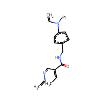 C=C/N=C\C(=C/C)C(=O)NCc1ccc(N(C=C)C(C)C)cc1